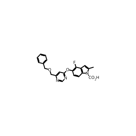 Cc1cc2c(F)c(Oc3cc(COCc4ccccc4)ncn3)ccc2n1C(=O)O